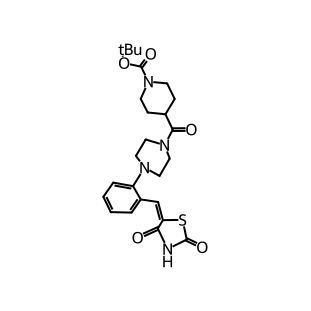 CC(C)(C)OC(=O)N1CCC(C(=O)N2CCN(c3ccccc3C=C3SC(=O)NC3=O)CC2)CC1